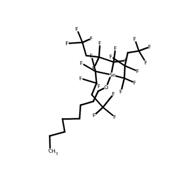 CCCCCCCC[O][Sn]([C](F)(F)C(F)(F)CC(F)(F)F)([C](F)(F)C(F)(F)CC(F)(F)F)[C](F)(F)C(F)(F)CC(F)(F)F